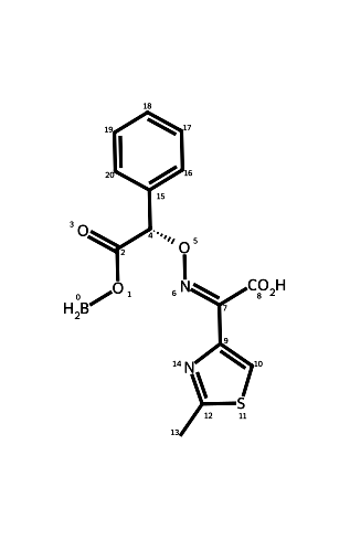 BOC(=O)[C@@H](O/N=C(\C(=O)O)c1csc(C)n1)c1ccccc1